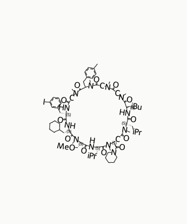 CC[C@H](C)C1NC(=O)[C@H](CC(C)C)N(C)C(=O)C[C@@H](C(=O)N2CCCCC2)N(C)C(=O)[C@H](CC(C)C)NC(=O)[C@H](COC)N(C)C(=O)[C@H](CC2CCCCC2)NC(=O)[C@H](Cc2cccc(I)c2)NC(=O)CN(C)C(=O)C(Cc2ccc(C)cc2)N(C)C(=O)CN(C)C(=O)CN(C)C1=O